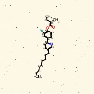 CCCCCCCCCc1ccc(-c2ccc(OC(=O)[C@@H](C)CC)c(F)c2)nc1